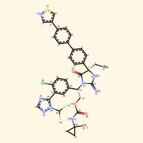 CC(C)(C)C[C@]1(c2ccc(-c3ccc(-c4cnsc4)cc3)cc2)NC(=N)N([C@H](COC(=O)NC2(C(F)(F)F)CC2)c2ccc(Cl)c(-c3ncnn3C(F)F)c2)C1=O